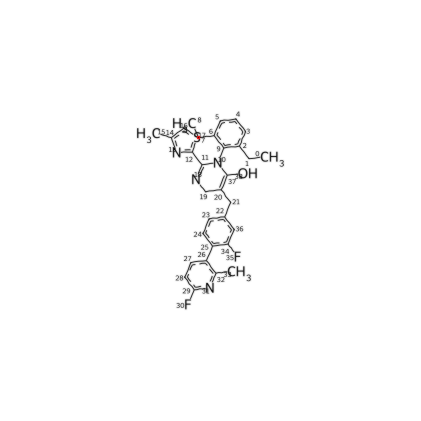 CCc1cccc(CC)c1N1C(c2nc(C)cs2)=NCC(Cc2ccc(-c3ccc(F)nc3C)c(F)c2)=C1O